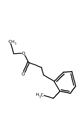 CCOC(=O)CCc1ccccc1CC